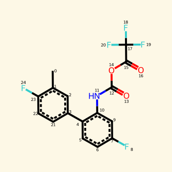 Cc1cc(-c2ccc(F)cc2NC(=O)OC(=O)C(F)(F)F)ccc1F